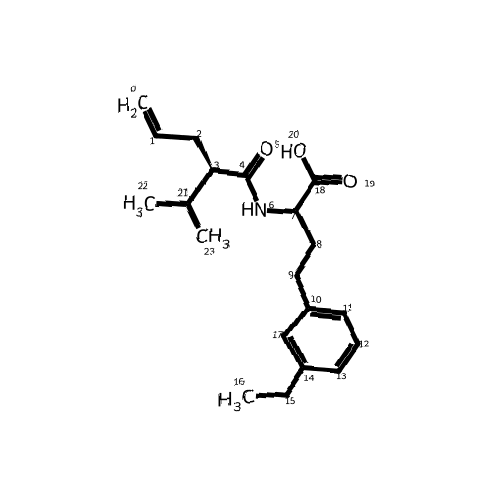 C=CC[C@@H](C(=O)NC(CCc1cccc(CC)c1)C(=O)O)C(C)C